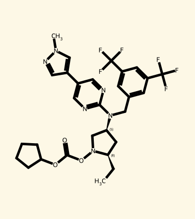 CC[C@@H]1C[C@H](N(Cc2cc(C(F)(F)F)cc(C(F)(F)F)c2)c2ncc(-c3cnn(C)c3)cn2)CN1OC(=O)OC1CCCC1